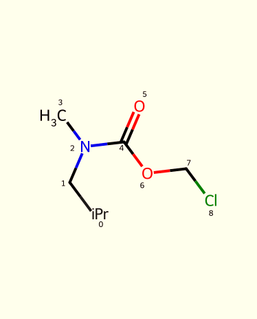 CC(C)CN(C)C(=O)OCCl